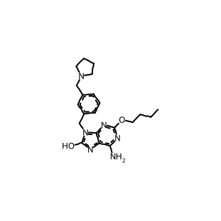 CCCCOc1nc(N)c2nc(O)n(Cc3cccc(CN4CCCC4)c3)c2n1